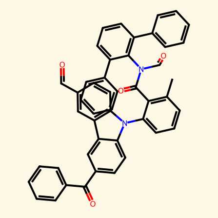 Cc1cccc(-n2c3ccc(C=O)cc3c3cc(C(=O)c4ccccc4)ccc32)c1C(=O)N(C=O)c1c(-c2ccccc2)cccc1-c1ccccc1